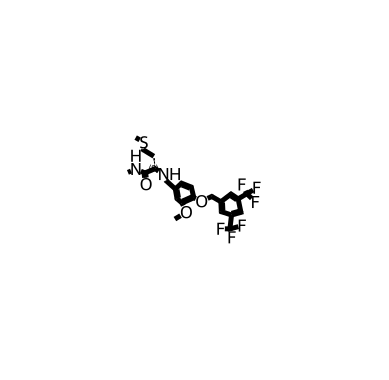 CNC(=O)[C@H](CCSC)NCc1ccc(OCc2cc(C(F)(F)F)cc(C(F)(F)F)c2)c(OC)c1